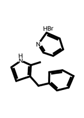 Br.Cc1[nH]ccc1Cc1ccccc1.c1ccncc1